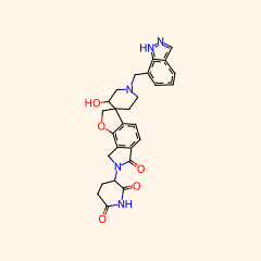 O=C1CCC(N2Cc3c(ccc4c3OCC43CCN(Cc4cccc5cn[nH]c45)CC3O)C2=O)C(=O)N1